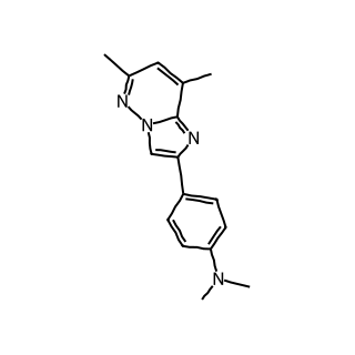 Cc1cc(C)c2nc(-c3ccc(N(C)C)cc3)cn2n1